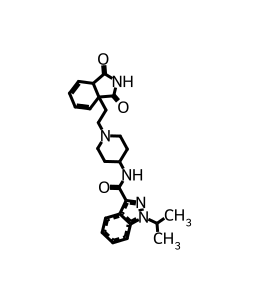 CC(C)n1nc(C(=O)NC2CCN(CCC34C=CC=CC3C(=O)NC4=O)CC2)c2ccccc21